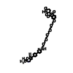 C=N/C=C\c1cc(-c2ccc(-c3ccc(NCCOCCOCCOCCOCCOCCOc4ccc5c(c4)C(=O)N(C4CCC(=O)NC4=O)C5=O)nc3)cc2)[nH]c1C